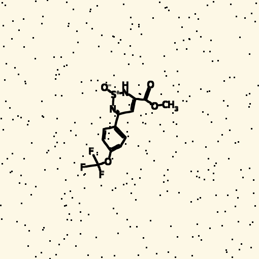 COC(=O)C1=CC(c2ccc(OC(F)(F)F)cc2)=N[S+]([O-])N1